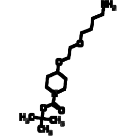 CC(C)(C)OC(=O)N1CCC(OCCOCCCCN)CC1